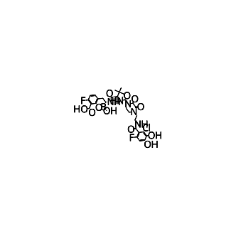 CC(C)(C)[C@@H](NC(=O)N1CCN(CCNC(=O)c2c(F)cc(O)c(O)c2Cl)C(=O)C1=O)C(=O)N[C@H]1Cc2ccc(F)c(C(=O)O)c2OB1O